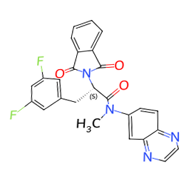 CN(C(=O)[C@H](Cc1cc(F)cc(F)c1)N1C(=O)c2ccccc2C1=O)c1ccc2nccnc2c1